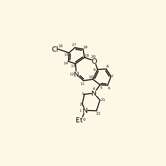 CCN1CCN(c2cccc3c2C=Nc2cc(Cl)ccc2O3)CC1